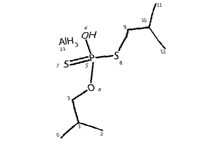 CC(C)COP(O)(=S)SCC(C)C.[AlH3]